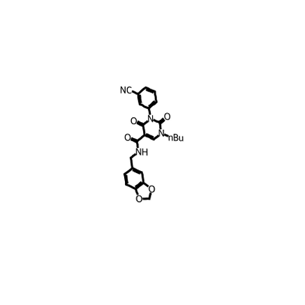 CCCCn1cc(C(=O)NCc2ccc3c(c2)OCO3)c(=O)n(-c2cccc(C#N)c2)c1=O